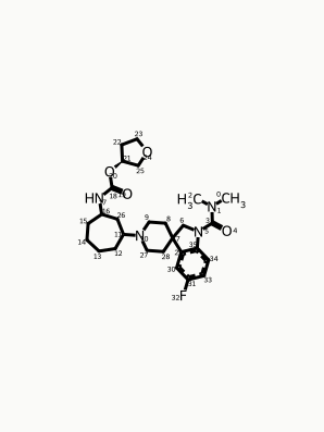 CN(C)C(=O)N1CC2(CCN(C3CCCCC(NC(=O)O[C@H]4CCOC4)C3)CC2)c2cc(F)ccc21